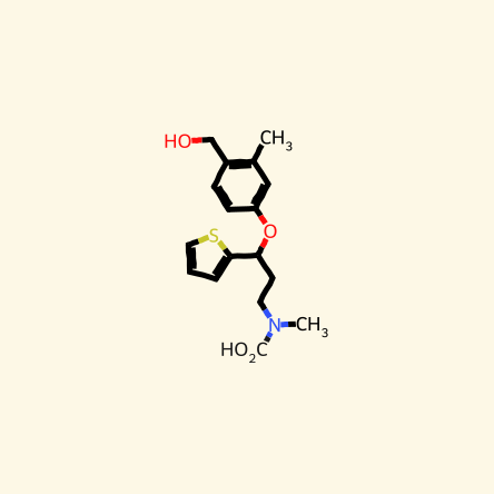 Cc1cc(OC(CCN(C)C(=O)O)c2cccs2)ccc1CO